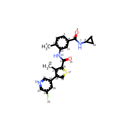 Cc1ccc(C(=O)NC2CC2)cc1NC(=O)c1scc(-c2cncc(F)c2)c1C